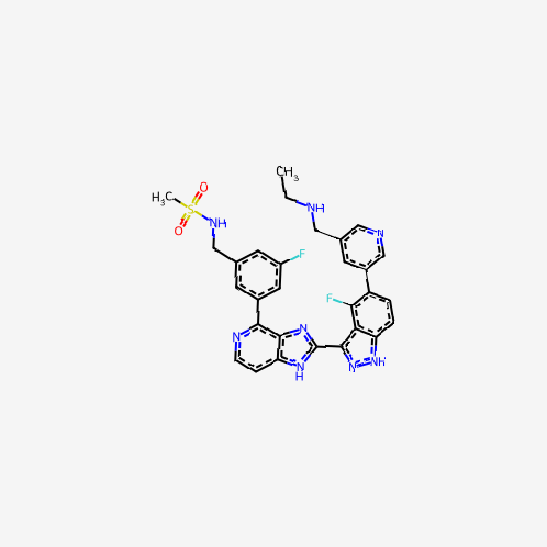 CCNCc1cncc(-c2ccc3[nH]nc(-c4nc5c(-c6cc(F)cc(CNS(C)(=O)=O)c6)nccc5[nH]4)c3c2F)c1